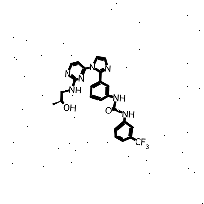 C[C@H](O)CNc1nccc(-n2ccnc2-c2cccc(NC(=O)Nc3cccc(C(F)(F)F)c3)c2)n1